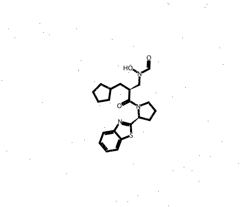 O=CN(O)C[C@H](CC1CCCC1)C(=O)N1CCC[C@H]1c1nc2ccccc2s1